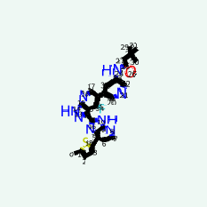 Cc1ccc(-c2ccnc3[nH]c(-c4n[nH]c5ncc(-c6cncc(NC(=O)CC(C)(C)C)c6)c(F)c45)nc23)s1